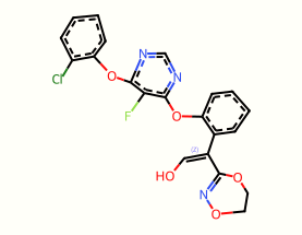 O/C=C(\C1=NOCCO1)c1ccccc1Oc1ncnc(Oc2ccccc2Cl)c1F